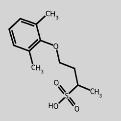 Cc1cccc(C)c1OCCC(C)S(=O)(=O)O